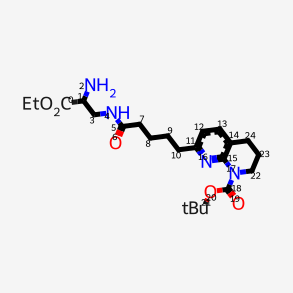 CCOC(=O)C(N)CNC(=O)CCCCc1ccc2c(n1)N(C(=O)OC(C)(C)C)CCC2